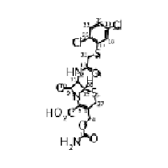 NC(=O)OCC1=C(C(=O)O)N2C(=O)C(NC(=O)CSc3cc(Cl)ccc3Cl)[C@@H]2SC1